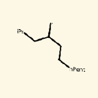 [CH2]CCCCCCC([CH2])CC(C)C